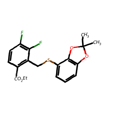 CCOC(=O)c1ccc(F)c(F)c1CSc1cccc2c1OC(C)(C)O2